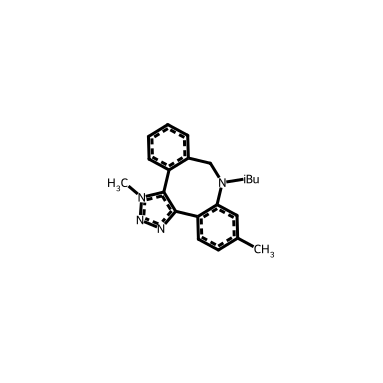 CCC(C)N1Cc2ccccc2-c2c(nnn2C)-c2ccc(C)cc21